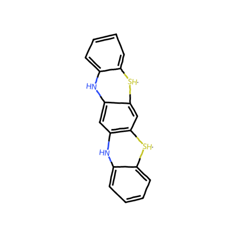 c1ccc2c(c1)Nc1cc3c(cc1[SH]2)[SH]c1ccccc1N3